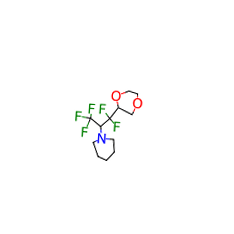 FC(F)(F)C(N1CCCCC1)C(F)(F)C1COCCO1